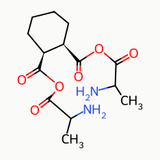 CC(N)C(=O)OC(=O)[C@H]1CCCC[C@H]1C(=O)OC(=O)C(C)N